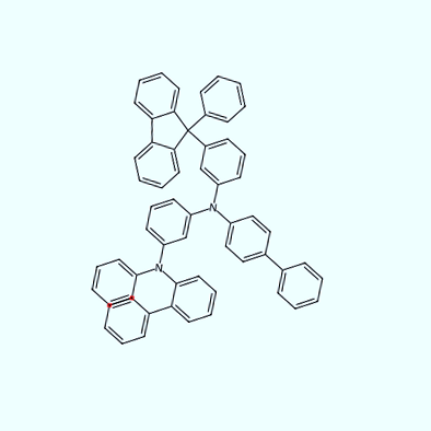 c1ccc(-c2ccc(N(c3cccc(N(c4ccccc4)c4ccccc4-c4ccccc4)c3)c3cccc(C4(c5ccccc5)c5ccccc5-c5ccccc54)c3)cc2)cc1